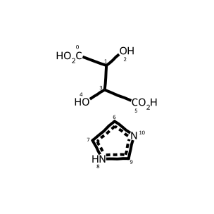 O=C(O)C(O)C(O)C(=O)O.c1c[nH]cn1